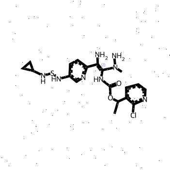 CC(OC(=O)N/C(=C(/N)c1ccc(NSNC2CC2)cn1)N(C)N)c1cccnc1Cl